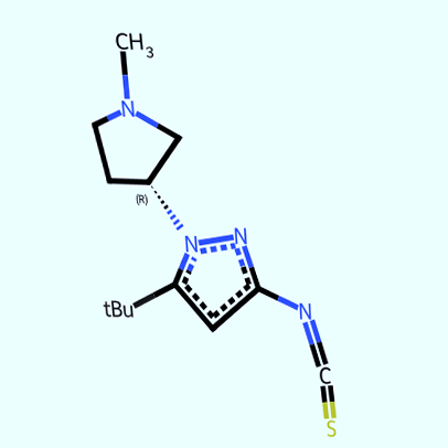 CN1CC[C@@H](n2nc(N=C=S)cc2C(C)(C)C)C1